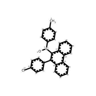 Cc1ccc([S+]([O-])c2c(-c3ccc(Cl)cc3)c3ccccc3c3ccccc23)cc1